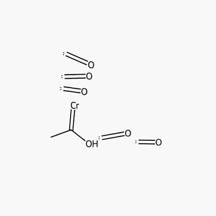 C[C](O)=[Cr].[C]=O.[C]=O.[C]=O.[C]=O.[C]=O